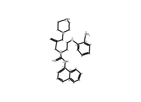 C=C(CN1CCNCC1)CN(CCOc1ccccc1N)C(=O)Nc1cccc2ccccc12